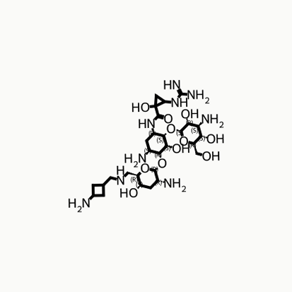 N=C(N)NC1CC1(O)C(=O)N[C@@H]1C[C@H](N)[C@@H](O[C@H]2O[C@H](CNCC3CC(N)C3)[C@@H](O)C[C@H]2N)[C@H](O)[C@H]1O[C@H]1O[C@H](CO)[C@@H](O)[C@H](N)[C@H]1O